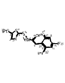 CC(C)c1cnc(SNC(=O)Cc2c(C(C)C)cc(F)cc2C(C)C)s1